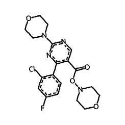 O=C(ON1CCOCC1)c1cnc(N2CCOCC2)nc1-c1ccc(F)cc1Cl